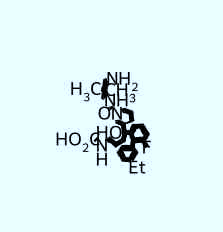 CCc1cccc(-c2c(F)cccc2[C@](O)(CCCNC(=O)O)[C@@H]2CCCN(C(=O)NCC(C)(C)CN)C2)c1